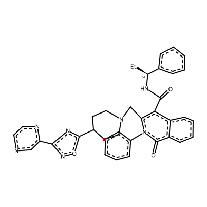 CC[C@H](NC(=O)c1c(CN2CCC(c3nc(-c4cnccn4)no3)CC2)n(-c2ccccc2)c(=O)c2ccccc12)c1ccccc1